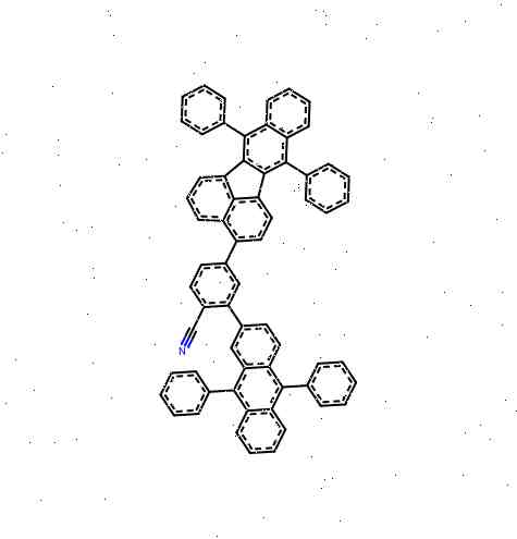 N#Cc1ccc(-c2ccc3c4c(cccc24)-c2c-3c(-c3ccccc3)c3ccccc3c2-c2ccccc2)cc1-c1ccc2c(-c3ccccc3)c3ccccc3c(-c3ccccc3)c2c1